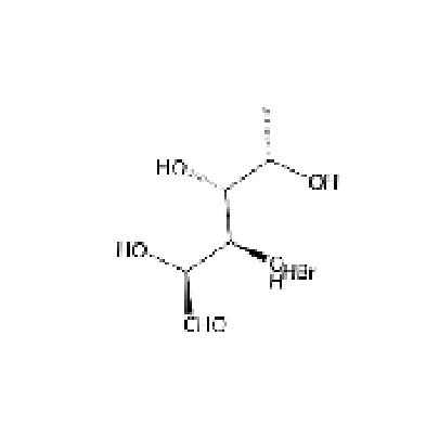 Br.C[C@H](O)[C@@H](O)[C@@H](O)[C@H](O)C=O